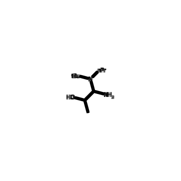 CCCN(C(N)C(C)O)C(C)(C)C